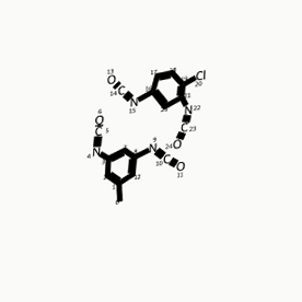 Cc1cc(N=C=O)cc(N=C=O)c1.O=C=Nc1ccc(Cl)c(N=C=O)c1